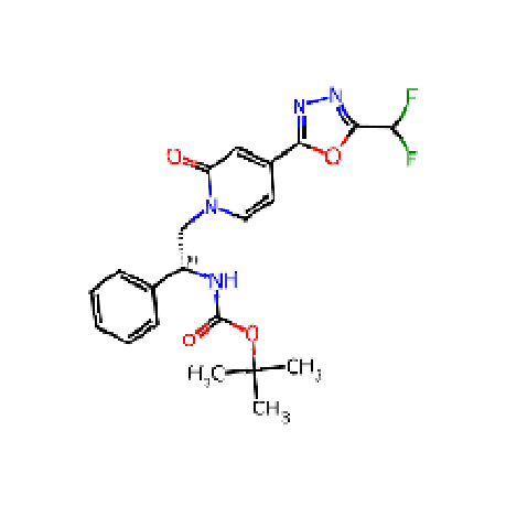 CC(C)(C)OC(=O)N[C@@H](Cn1ccc(-c2nnc(C(F)F)o2)cc1=O)c1ccccc1